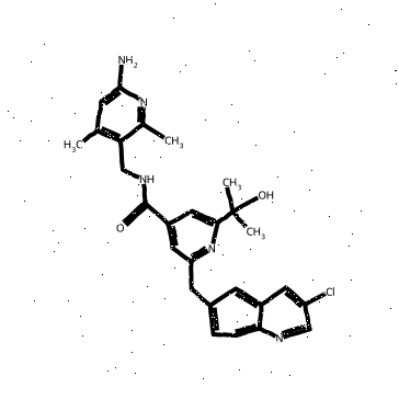 Cc1cc(N)nc(C)c1CNC(=O)c1cc(Cc2ccc3ncc(Cl)cc3c2)nc(C(C)(C)O)c1